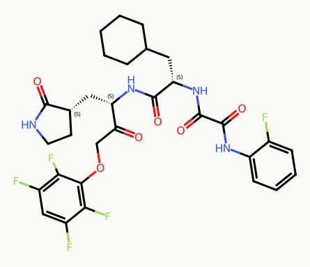 O=C(Nc1ccccc1F)C(=O)N[C@@H](CC1CCCCC1)C(=O)N[C@@H](C[C@@H]1CCNC1=O)C(=O)COc1c(F)c(F)cc(F)c1F